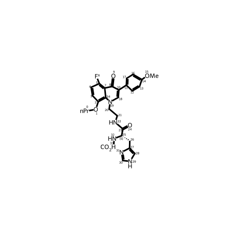 CCCOc1ccc(F)c2c(=O)c(-c3ccc(OC)cc3)cn(CCNC(=O)[C@H](Cc3c[nH]cn3)NC(=O)O)c12